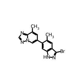 Cc1cc2c(Br)n[nH]c2cc1-c1cc(C)c2ncnn2c1